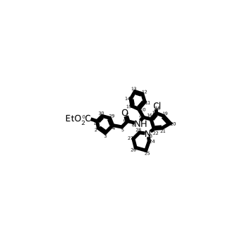 CCOC(=O)c1ccc(CC(=O)NC(c2ccccc2)c2c(Cl)cccc2N2CCCCC2)cc1